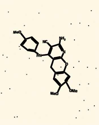 COc1ccc(Nc2c(C#N)c(N)nc3c2Cc2cc(OC)c(OC)cc2O3)cc1